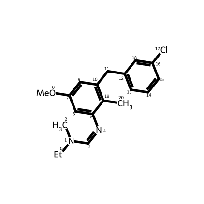 CCN(C)/C=N\c1cc(OC)cc(Cc2cccc(Cl)c2)c1C